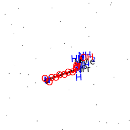 CNC(=O)[C@H](CCCNC(N)O)NC(=O)[C@@H](NC(=O)CCOCCOCCOCCOCCOCCOCCN1C(=O)C=CC1=O)C(C)C